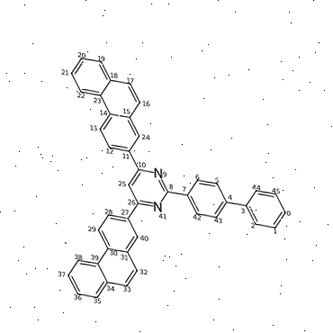 c1ccc(-c2ccc(-c3nc(-c4ccc5c(ccc6ccccc65)c4)cc(-c4ccc5c(ccc6ccccc65)c4)n3)cc2)cc1